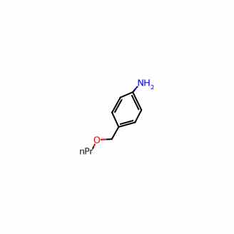 CCCOCc1ccc(N)cc1